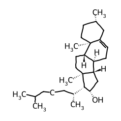 CC(C)CCC[C@@H](C)[C@H]1[C@@H](O)C[C@H]2[C@@H]3CC=C4C[C@@H](C)CC[C@]4(C)[C@H]3CC[C@]12C